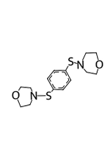 c1cc(SN2CCOCC2)ccc1SN1CCOCC1